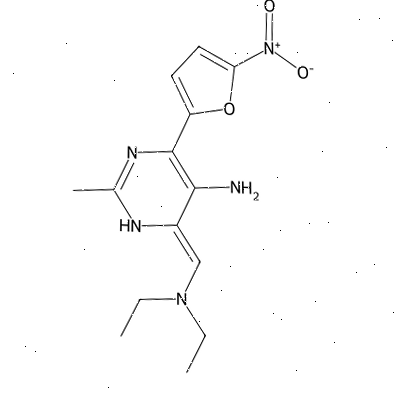 CCN(C=C1NC(C)=NC(c2ccc([N+](=O)[O-])o2)=C1N)CC